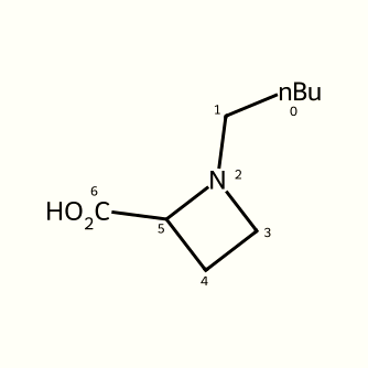 CCCCCN1CCC1C(=O)O